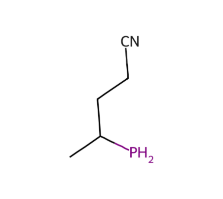 CC(P)CCC#N